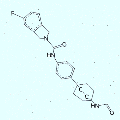 O=CNC12CCC(c3ccc(NC(=O)N4Cc5ccc(F)cc5C4)cc3)(CC1)CC2